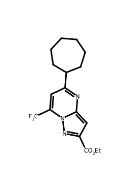 CCOC(=O)c1cc2nc(C3CCCCCC3)cc(C(F)(F)F)n2n1